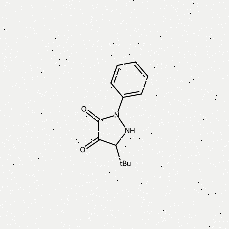 CC(C)(C)C1NN(c2ccccc2)C(=O)C1=O